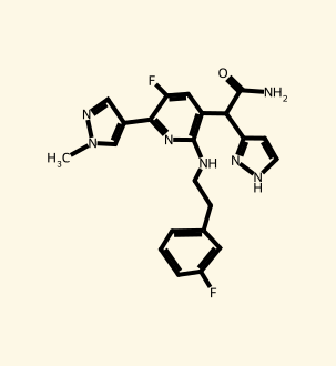 Cn1cc(-c2nc(NCCc3cccc(F)c3)c(C(C(N)=O)c3cc[nH]n3)cc2F)cn1